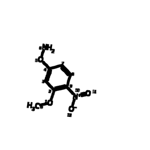 COc1cc(ON)ccc1[N+](=O)[O-]